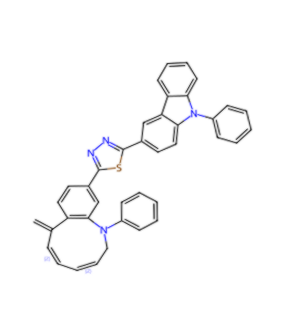 C=C1/C=C\C=C/CN(c2ccccc2)c2cc(-c3nnc(-c4ccc5c(c4)c4ccccc4n5-c4ccccc4)s3)ccc21